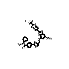 COc1cc(OCc2csc(-c3ccc(C(=O)N(C)C4CCCCC4)cc3)n2)c2sc(-c3cn4nc(C(C)(F)F)sc4n3)nc2c1